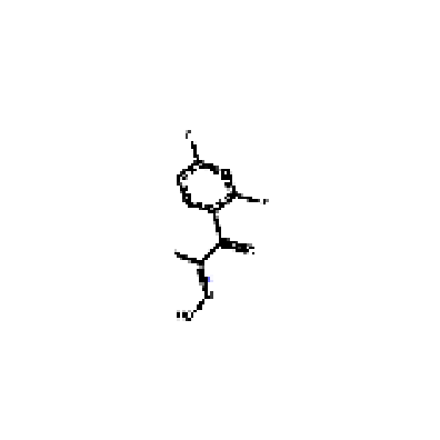 C/C(=N\O)C(=O)c1ccc(F)cc1F